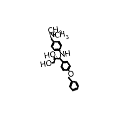 CN(C)Cc1ccc(NC(c2ccc(OCc3ccccc3)cc2)[C@H](O)CO)cc1